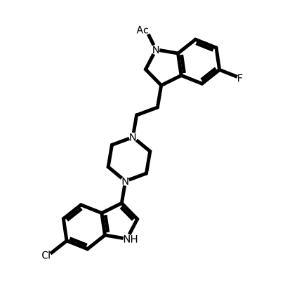 CC(=O)N1CC(CCN2CCN(c3c[nH]c4cc(Cl)ccc34)CC2)c2cc(F)ccc21